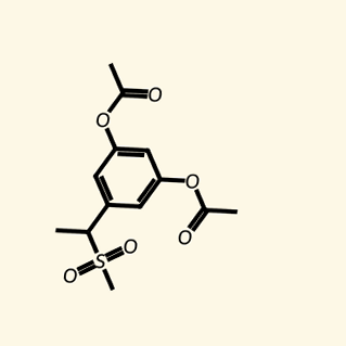 CC(=O)Oc1cc(OC(C)=O)cc(C(C)S(C)(=O)=O)c1